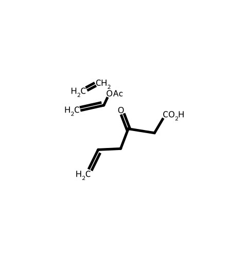 C=C.C=CCC(=O)CC(=O)O.C=COC(C)=O